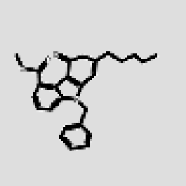 CCCCCC1=Cc2c(c3c(C(=O)OC)cccc3n2Cc2ccccc2)C(=O)C1